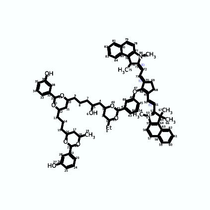 CCC1CC(CC(O)CCCC2CC(CCCC3CC(C)OC(c4cccc(O)c4)O3)OC(c3cccc(O)c3)O2)OC(c2cccc(OC3=C(/C=C/C4=[N+](C)c5ccc6ccccc6c5C4(C)C)CC/C3=C\C=C3/C(C)c4c(ccc5ccccc45)N3C)c2)O1